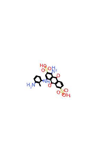 Cc1c(N)cccc1Nc1cc(S(=O)(=O)O)c(N)c2c1C(=O)c1cc(S(=O)(=O)O)ccc1C2=O